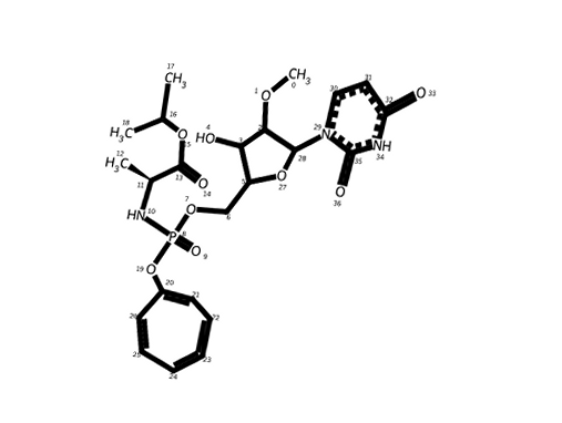 COC1C(O)C(COP(=O)(N[C@@H](C)C(=O)OC(C)C)OC2=CC=C=CC=C2)OC1n1ccc(=O)[nH]c1=O